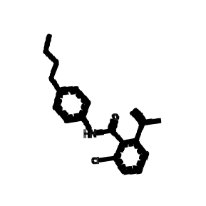 C=C(C)c1cccc(Cl)c1C(=O)Nc1ccc(CCCC)cc1